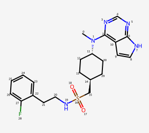 CN(c1ncnc2[nH]ccc12)[C@H]1CC[C@H](CS(=O)(=O)NCCc2ccccc2F)CC1